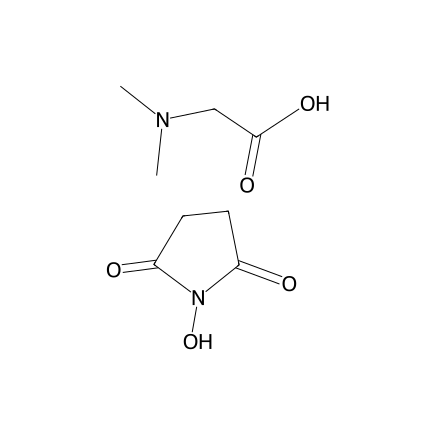 CN(C)CC(=O)O.O=C1CCC(=O)N1O